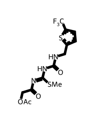 CS/C(=N\C(=O)COC(C)=O)NC(=O)NCc1ccc(C(F)(F)F)s1